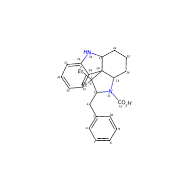 CCC1(CC)C(Cc2ccccc2)N(C(=O)O)C2CCCC3Nc4ccccc4C321